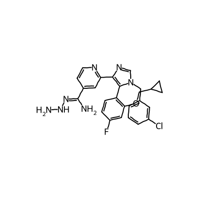 NN/N=C(\N)c1ccnc(-c2ncn(Cc3cccc(Cl)c3)c2-c2ccc(F)cc2OCC2CC2)c1